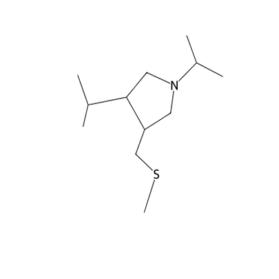 CSCC1CN(C(C)C)CC1C(C)C